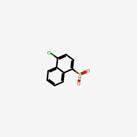 O=[SH](=O)c1ccc(Cl)c2ccccc12